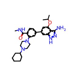 CNC(=O)c1ccc(-c2cc(OC(C)C)c3c(N)n[nH]c3c2)cc1N1CCN(C2CCCCC2)CC1